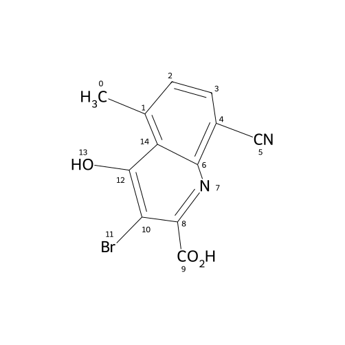 Cc1ccc(C#N)c2nc(C(=O)O)c(Br)c(O)c12